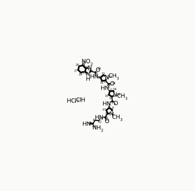 Cl.Cl.Cn1cc(NC(=O)c2cc(NC(=O)c3cc(NC(=O)c4nc5c([N+](=O)[O-])cccc5[nH]4)cn3C)cn2C)cc1C(=O)NCCC(=N)N